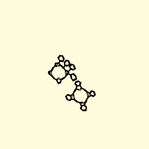 C1=C2\N=C(/C=C3\N=C(/C=C4\N=C(/C=C5\N=C/1c1ccccc15)c1ccccc14)c1ccccc13)c1ccccc12.C1=Cc2cc3[nH]c(c(-c4ccccc4)c4nc(cc5ccc(cc1n2)[nH]5)C=C4c1ccccc1)c(-c1ccccc1)c3-c1ccccc1